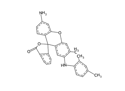 Cc1ccc(Nc2cc3c(cc2C)Oc2cc(N)ccc2C32OC(=O)c3ccccc32)c(C)c1